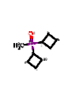 CP(=O)(C1CCC1)C1CCC1